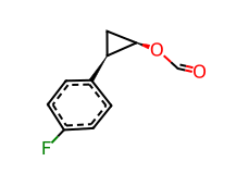 O=CO[C@@H]1C[C@@H]1c1ccc(F)cc1